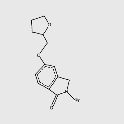 CC(C)N1Cc2cc(OCC3CCCO3)ccc2C1=O